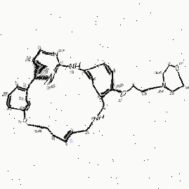 C1=C/CNCc2cc(ccc2OCCN2CCOCC2)Nc2nccc(n2)-c2cccc(c2)OCC/1